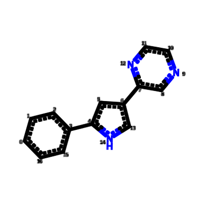 c1ccc(-c2cc(-c3cnccn3)c[nH]2)cc1